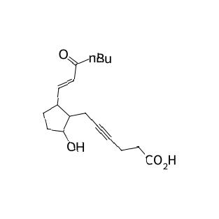 CCCCC(=O)C=CC1CCC(O)C1CC#CCCC(=O)O